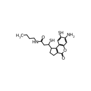 CCCCNC(=O)CC(S)C1CCc2c1c1cc(S)c(N)cc1oc2=O